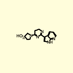 O[C@H]1CCN(C2=NC(c3c[nH]c4ncccc34)=NCC2)C1